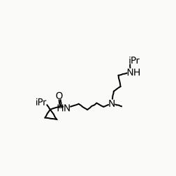 CC(C)NCCCN(C)CCCCNC(=O)C1(C(C)C)CC1